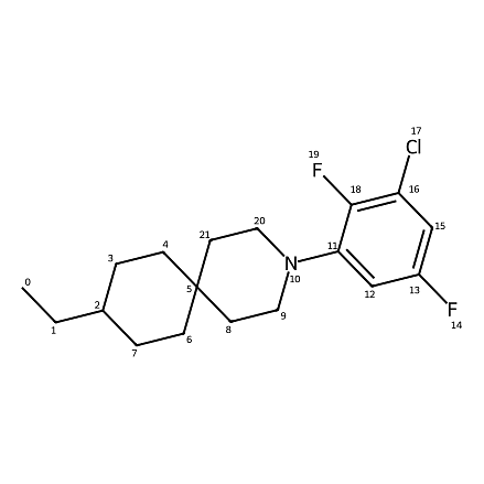 CCC1CCC2(CC1)CCN(c1cc(F)cc(Cl)c1F)CC2